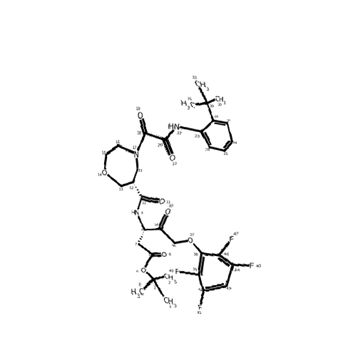 CC(C)(C)OC(=O)C[C@H](NC(=O)[C@@H]1COCCN(C(=O)C(=O)Nc2ccccc2C(C)(C)C)C1)C(=O)COc1c(F)c(F)cc(F)c1F